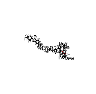 COC(=O)N[C@@H]1CC[C@@H](n2c(=O)n(C)c3cnc4[nH]c(-c5cnn(CC(=O)N6CCC(CN7CCN(c8ccc9c(c8)CN(C8CCC(=O)NC8=O)C9=O)CC7)CC6)c5)c(-c5ccc6c(cnn6C(C)C)c5)c4c32)C1